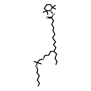 CCCCCCOC(C)(C)COCCCC(CCCC)CCCCCCCCCC(=O)ON1C(C)(C)CCCC1(C)C